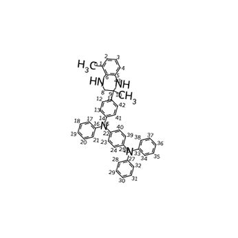 Cc1cccc2c1NCC(C)(c1ccc(N(c3ccccc3)c3ccc(N(c4ccccc4)c4ccccc4)cc3)cc1)N2